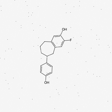 Oc1ccc(C2CCCc3cc(O)c(F)cc3C2)cc1